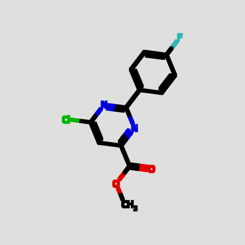 COC(=O)c1cc(Cl)nc(-c2ccc(F)cc2)n1